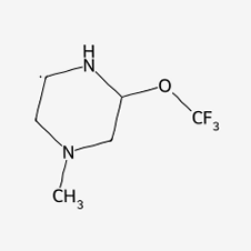 CN1C[CH]NC(OC(F)(F)F)C1